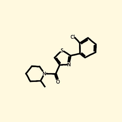 CC1CCCCN1C(=O)c1csc(-c2ccccc2Cl)n1